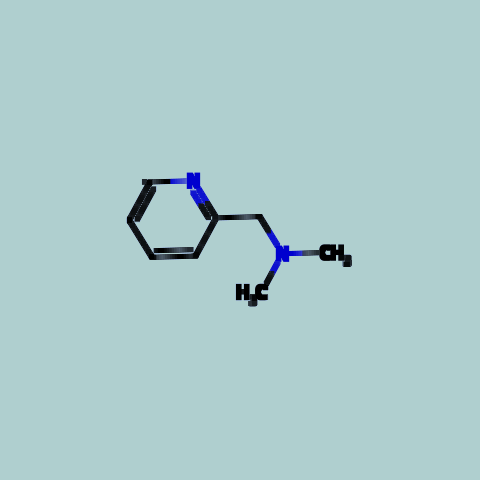 CN(C)Cc1ccc[c]n1